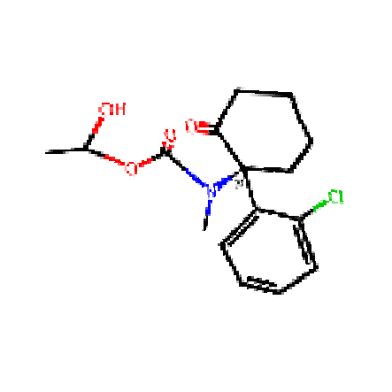 CC(O)OC(=O)N(C)[C@]1(c2ccccc2Cl)CCCCC1=O